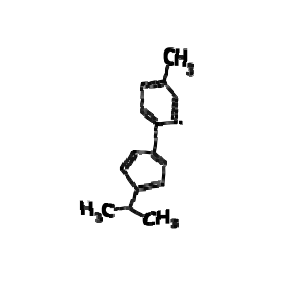 Cc1c[c]c(-c2ccc(C(C)C)cc2)cc1